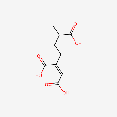 CC(CCC(=CC(=O)O)C(=O)O)C(=O)O